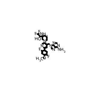 COc1cc(F)c(-c2cc(Cn3cnc4c(N)ncnc43)c(N3CCCC(N)([C@@H](O)C(F)F)C3)cn2)cc1F